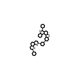 c1ccc(-c2ccc3ccc4ccc(-c5cccc(-c6ccc7sc8ccc9c(-c%10ccccc%10)nc%10ccccc%10c9c8c7c6)c5)nc4c3n2)cc1